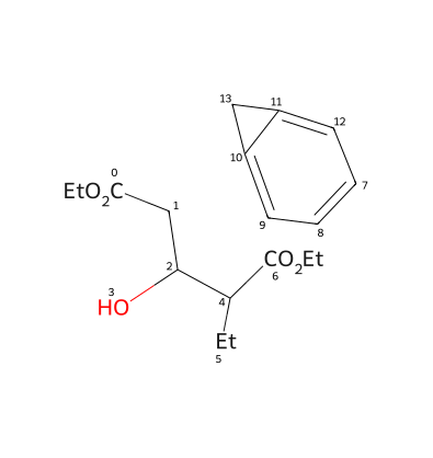 CCOC(=O)CC(O)C(CC)C(=O)OCC.c1ccc2c(c1)C2